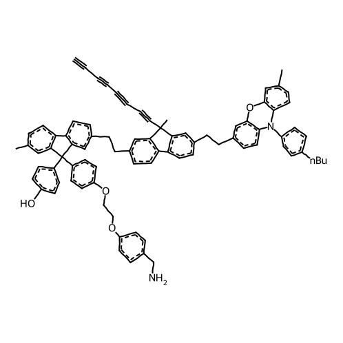 C#CC#CC#CC#CC1(C)c2cc(CCc3ccc4c(c3)Oc3cc(C)ccc3N4c3ccc(CCCC)cc3)ccc2-c2ccc(CCc3ccc4c(c3)C(c3ccc(O)cc3)(c3ccc(OCCOc5ccc(CN)cc5)cc3)c3cc(C)ccc3-4)cc21